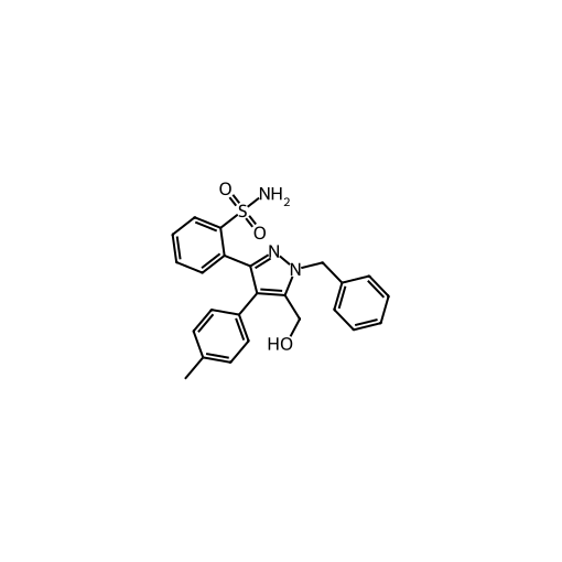 Cc1ccc(-c2c(-c3ccccc3S(N)(=O)=O)nn(Cc3ccccc3)c2CO)cc1